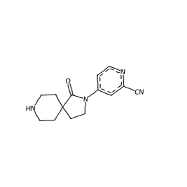 N#Cc1cc(N2CCC3(CCNCC3)C2=O)ccn1